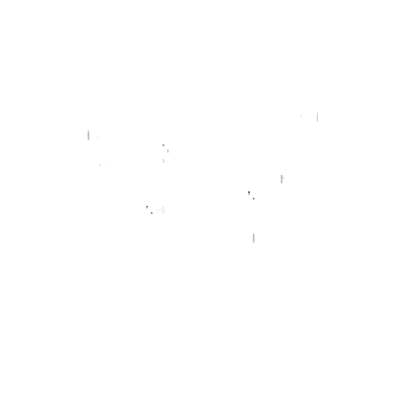 Cc1cc(C(=O)[N@@+]2(C(=O)Nc3ccccc3-c3cccc(F)c3)CCC[C@H]2C)nn1Cc1ccccc1